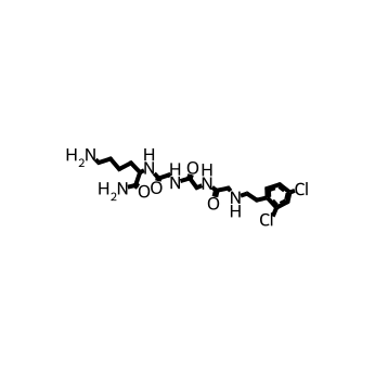 NCCCCC(NC(=O)CNC(=O)CNC(=O)CNCCc1ccc(Cl)cc1Cl)C(N)=O